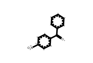 O=C(c1cc[c]cc1)c1ccc([N+](=O)[O-])cc1